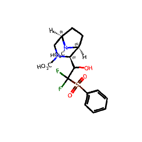 O=C(O)N1C[C@H]2CC[C@@H]([C@H]1C(O)C(F)(F)S(=O)(=O)c1ccccc1)N2C(=O)O